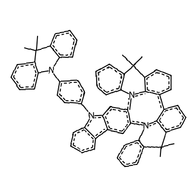 CC1(C)c2ccccc2N(c2ccc(-n3c4ccccc4c4cc5c(cc43)n3c4c(cccc4c4cccc6c4n5-c4ccccc4C6(C)C)C(C)(C)c4ccccc4-3)cc2)c2ccccc21